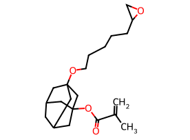 C=C(C)C(=O)OC12CC3CC(CC(OCCCCCC4CO4)(C3)C1)C2